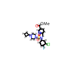 COC(=O)c1ccc(CN(c2ccc(F)c(Cl)c2)S(=O)(=O)N2CCN(C3CCC3)CC2)nc1